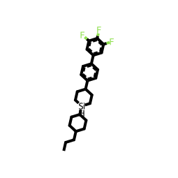 CCCC1CCC([SiH]2CCC(c3ccc(-c4cc(F)c(F)c(F)c4)cc3)CC2)CC1